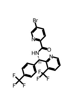 O=C(N[C@@H](c1ccc(C(F)(F)F)cc1)c1ncccc1C(F)(F)F)c1ccc(Br)cn1